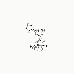 CC1(C)OB(/C(C=N)=C/N[C@H]2CCOC2)OC1(C)C